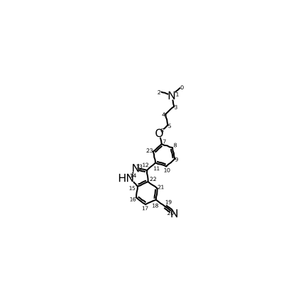 CN(C)CCCOc1cccc(-c2n[nH]c3ccc(C#N)cc23)c1